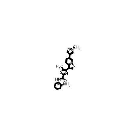 Cc1sc(C(=O)N[C@H]2CCCC[C@H]2N)nc1-c1cnn2cc(-c3cnn(C)c3)ccc12